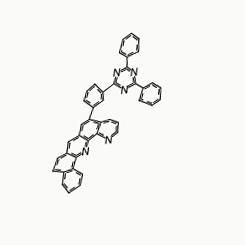 c1ccc(-c2nc(-c3ccccc3)nc(-c3cccc(-c4cc5cc6ccc7ccccc7c6nc5c5ncccc45)c3)n2)cc1